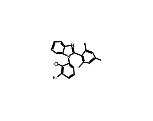 Cc1cc(C)c(-c2nc3ccccc3n2-c2cccc(Br)c2Cl)c(C)c1